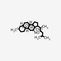 C=C(C)CC[C@H](C)C1CC[C@H]2[C@H]3CC[C@H]4C[C@@H](C)CC[C@@]4(C)[C@H]3C[C@@H](N=O)[C@]12C